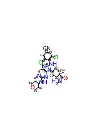 C=N/C(=N\c1c(C)nc(Nc2c(Cl)cc(C#N)cc2Cl)n1[C@H]1CC[C@@](C)(C(N)=O)CC1)NC1CCOCC1